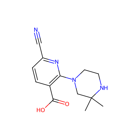 CC1(C)CN(c2nc(C#N)ccc2C(=O)O)CCN1